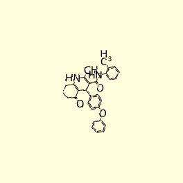 CC1=C(C(=O)Nc2ccccc2C)C(c2ccc(Oc3ccccc3)cc2)C2=C(CCCC2=O)N1